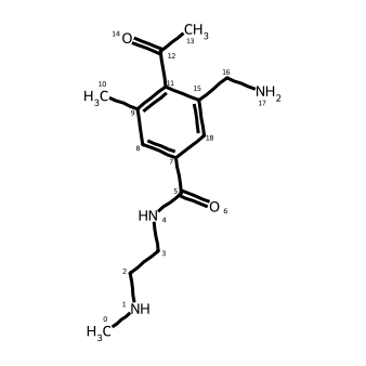 CNCCNC(=O)c1cc(C)c(C(C)=O)c(CN)c1